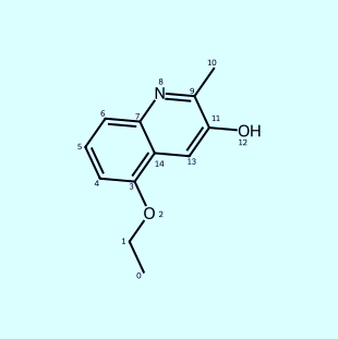 CCOc1cccc2nc(C)c(O)cc12